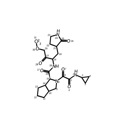 O=C(NC1CC1)C(=O)N1CC2CCCC2[C@H]1C(=O)NC(CC1CCNC1=O)C(=O)COC(F)(F)F